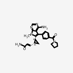 Cn1c([C@@H]2C[C@@H]2C=CC(N)=O)c(-c2ccc(C(=O)N3CCCC3)cc2)c2c(N)ncnc21